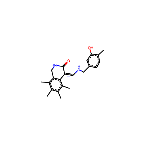 Cc1ccc(CN/C=C2\C(=O)NCc3c(C)c(C)c(C)c(C)c32)cc1O